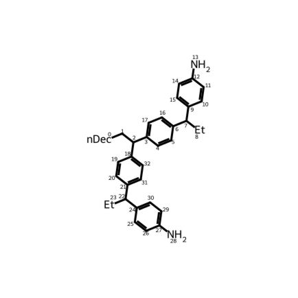 CCCCCCCCCCCC(c1ccc(C(CC)c2ccc(N)cc2)cc1)c1ccc(C(CC)c2ccc(N)cc2)cc1